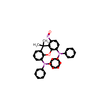 CC1(C)c2cccc(P(c3ccccc3)c3ccccc3)c2Oc2c(P(c3ccccc3)c3ccccc3)ccc(P=O)c21